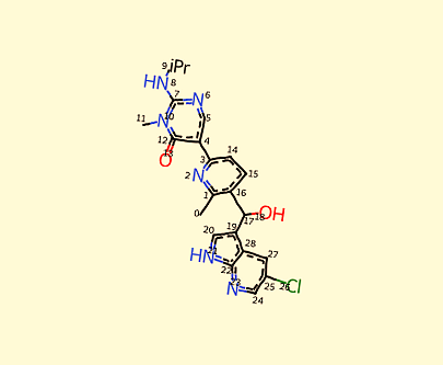 Cc1nc(-c2cnc(NC(C)C)n(C)c2=O)ccc1C(O)c1c[nH]c2ncc(Cl)cc12